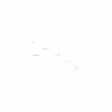 NCCOC=CC1C=CC=CS1